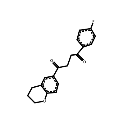 O=C(CCC(=O)c1ccc2c(c1)CCCO2)c1ccc(F)cc1